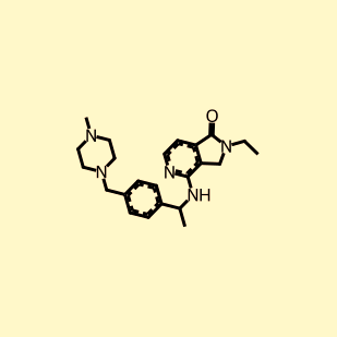 CCN1Cc2c(ccnc2NC(C)c2ccc(CN3CCN(C)CC3)cc2)C1=O